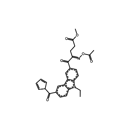 CCn1c2ccc(C(=O)C(CCC(=O)OC)=NOC(C)=O)cc2c2cc(C(=O)C3C=CC=C3)ccc21